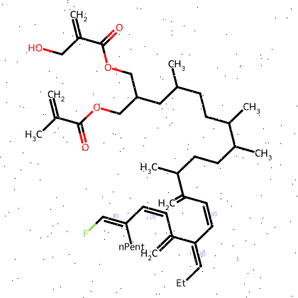 C=C(C)C(=O)OCC(COC(=O)C(=C)CO)CC(C)CCC(C)C(C)CCC(C)C(=C)/C=C\C(=C\CC)C(=C)/C=C\C(=C\F)CCCCC